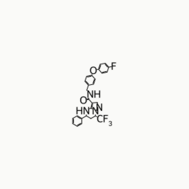 O=C(NCc1ccc(Oc2ccc(F)cc2)cc1)c1cnn2c1NC(c1ccccc1)CC2C(F)(F)F